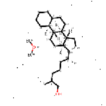 CC(CO)CCC[C@@H](C)[C@H]1CC[C@H]2[C@@H]3CCC4CCCC[C@]4(C)[C@H]3CC[C@]12C.CCOCC